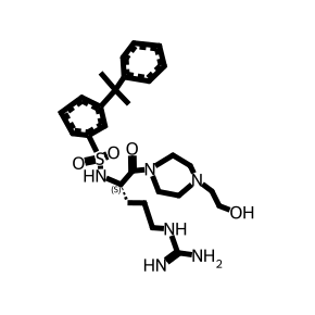 CC(C)(c1ccccc1)c1cccc(S(=O)(=O)N[C@@H](CCCNC(=N)N)C(=O)N2CCN(CCO)CC2)c1